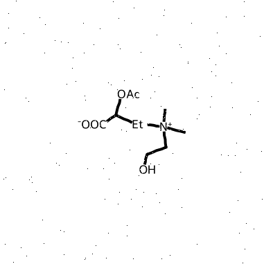 CCC(OC(C)=O)C(=O)[O-].C[N+](C)(C)CCO